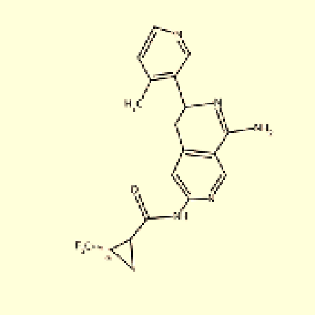 Cc1ccncc1C1Cc2cc(NC(=O)C3C[C@@H]3C(F)(F)F)ncc2C(N)=N1